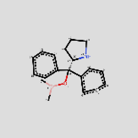 CB(C)OC(c1ccccc1)(c1ccccc1)[C@@H]1CCCN1